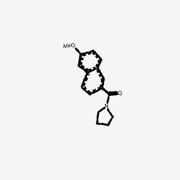 COc1ccc2cc(C(=O)N3C[CH]CC3)ccc2c1